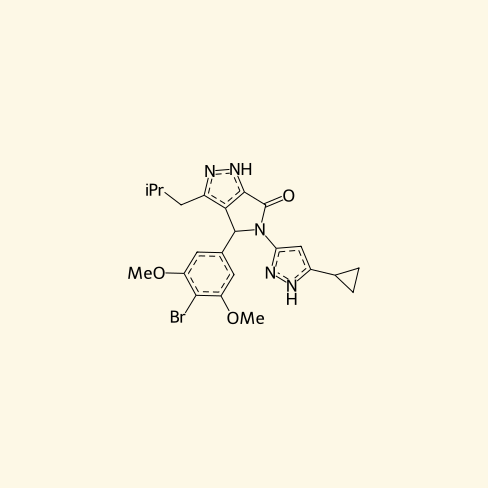 COc1cc(C2c3c(CC(C)C)n[nH]c3C(=O)N2c2cc(C3CC3)[nH]n2)cc(OC)c1Br